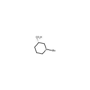 CC(C)(C)N1CCC[C@H](C(=O)O)C1